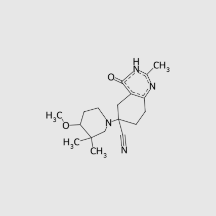 COC1CCN(C2(C#N)CCc3nc(C)[nH]c(=O)c3C2)CC1(C)C